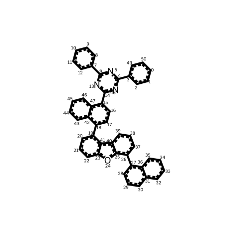 c1ccc(-c2nc(-c3ccccc3)nc(-c3ccc(-c4cccc5oc6c(-c7cccc8ccccc78)cccc6c45)c4ccccc34)n2)cc1